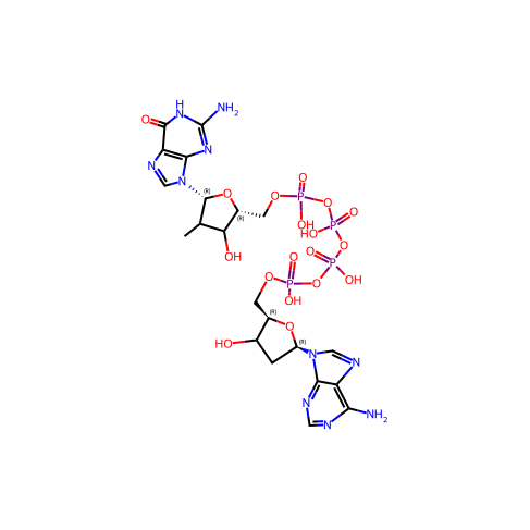 CC1C(O)[C@@H](COP(=O)(O)OP(=O)(O)OP(=O)(O)OP(=O)(O)OC[C@H]2O[C@@H](n3cnc4c(N)ncnc43)CC2O)O[C@H]1n1cnc2c(=O)[nH]c(N)nc21